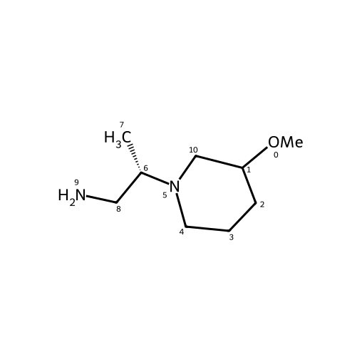 COC1CCCN([C@@H](C)CN)C1